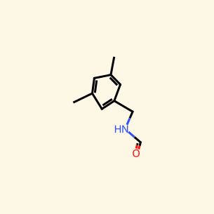 Cc1cc(C)cc(CNC=O)c1